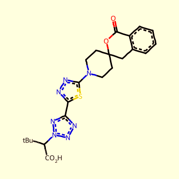 CC(C)(C)C(C(=O)O)n1nnc(-c2nnc(N3CCC4(CC3)Cc3ccccc3C(=O)O4)s2)n1